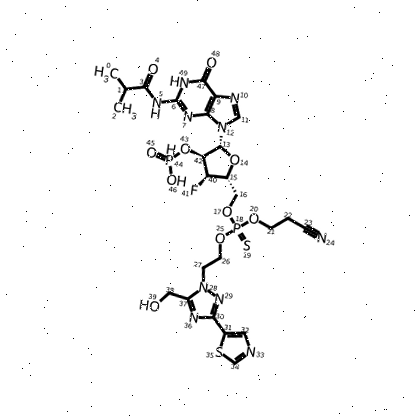 CC(C)C(=O)Nc1nc2c(ncn2[C@@H]2O[C@H](COP(=S)(OCCC#N)OCCn3nc(-c4cncs4)nc3CO)[C@@H](F)[C@H]2O[PH](=O)O)c(=O)[nH]1